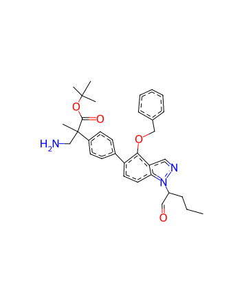 CCCC(C=O)n1ncc2c(OCc3ccccc3)c(-c3ccc(C(C)(CN)C(=O)OC(C)(C)C)cc3)ccc21